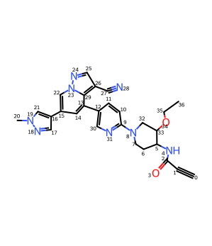 C#CC(=O)NC1CCN(c2ccc(-c3cc(-c4cnn(C)c4)cn4ncc(C#N)c34)cn2)CC1OCC